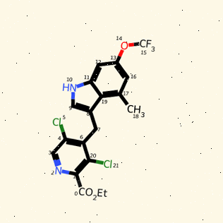 CCOC(=O)c1ncc(Cl)c(Cc2c[nH]c3cc(OC(F)(F)F)cc(C)c23)c1Cl